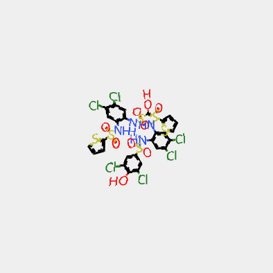 O=S(=O)(Nc1cc(Cl)c(Cl)cc1NS(=O)(=O)c1cccs1)C(O)=S(=O)(Nc1cc(Cl)c(Cl)cc1NS(=O)(=O)c1cc(Cl)c(O)c(Cl)c1)c1cccs1